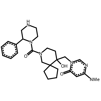 CNc1cc(=O)n(CC2(O)CCN(C(=O)N3CCNCC3c3ccccc3)CC23CCCC3)cn1